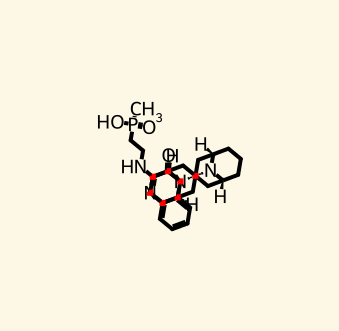 CP(=O)(O)CCNc1nc2ccccc2n([C@H]2C[C@H]3CCC[C@@H](C2)N3[C@H]2C[C@@H]3CCC[C@@H](C3)C2)c1=O